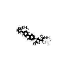 C[C@H](C(N)=O)C1CN(c2ccc(-c3ccc(-c4nnnn4C)nc3)c(F)c2)C(=O)O1